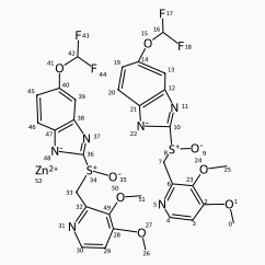 COc1ccnc(C[S+]([O-])c2nc3cc(OC(F)F)ccc3[n-]2)c1OC.COc1ccnc(C[S+]([O-])c2nc3cc(OC(F)F)ccc3[n-]2)c1OC.[Zn+2]